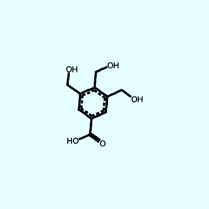 O=C(O)c1cc(CO)c(CO)c(CO)c1